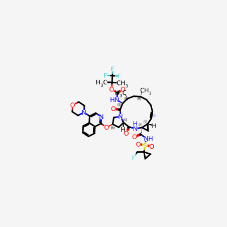 C[C@@H]1CC/C=C\[C@@H]2C[C@@]2(C(=O)NS(=O)(=O)C2(CF)CC2)NC(=O)[C@@H]2C[C@@H](Oc3ncc(N4CCOCC4)c4ccccc34)CN2C(=O)[C@@H](NC(=O)OC(C)(C)C(F)(F)F)[C@H](C)C1